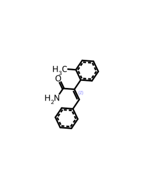 Cc1ccccc1/C(=C/c1ccccc1)C(N)=O